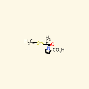 C=CCSSC[C@H](C)C(=O)N1CCC[C@H]1C(=O)O